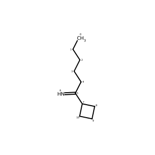 CCCC[CH]C(=N)C1CCC1